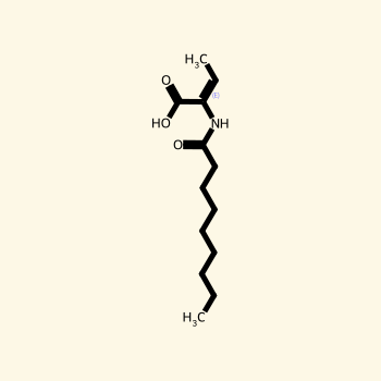 C/C=C(/NC(=O)CCCCCCCC)C(=O)O